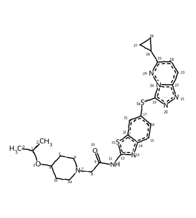 CC(C)OC1CCN(CC(=O)Nc2nc3ccc(Sc4nnc5ccc(C6CC6)nn45)cc3s2)CC1